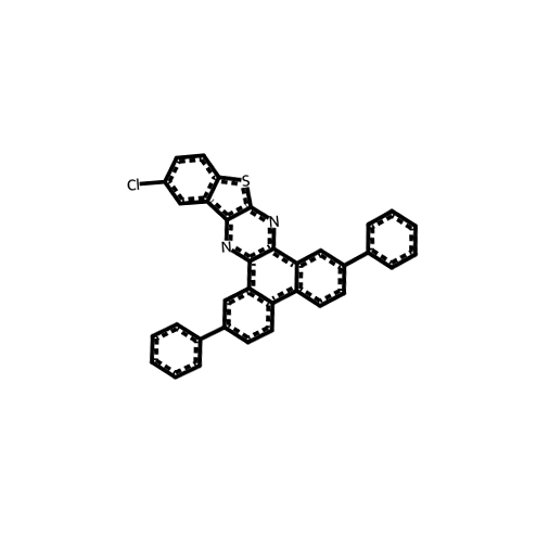 Clc1ccc2sc3nc4c5cc(-c6ccccc6)ccc5c5ccc(-c6ccccc6)cc5c4nc3c2c1